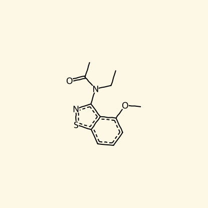 CCN(C(C)=O)c1nsc2cccc(OC)c12